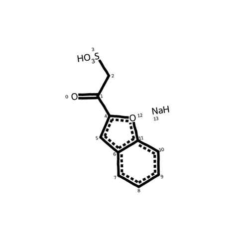 O=C(CS(=O)(=O)O)c1cc2ccccc2o1.[NaH]